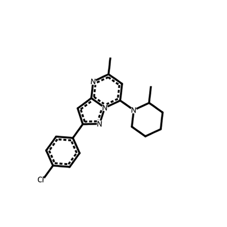 Cc1cc(N2CCCCC2C)n2nc(-c3ccc(Cl)cc3)cc2n1